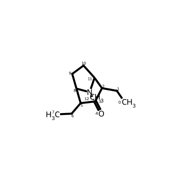 CCC1C(=O)C(CC)C2CCC1N2C